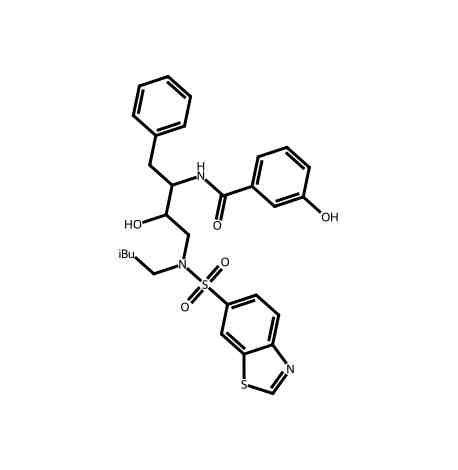 CCC(C)CN(CC(O)C(Cc1ccccc1)NC(=O)c1cccc(O)c1)S(=O)(=O)c1ccc2ncsc2c1